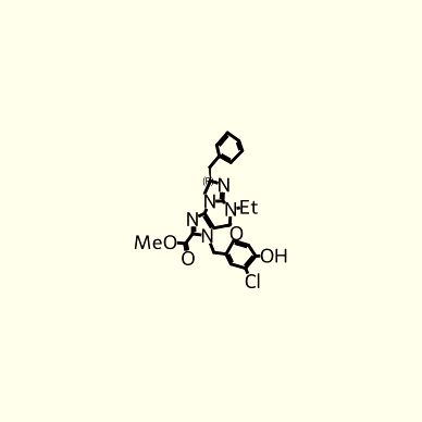 CCN1C(=O)c2c(nc(C(=O)OC)n2Cc2ccc(O)c(Cl)c2)N2C[C@@H](Cc3ccccc3)N=C12